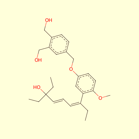 CC/C(=C/C=C/C(O)(CC)CC)c1cc(OCc2ccc(CO)c(CO)c2)ccc1OC